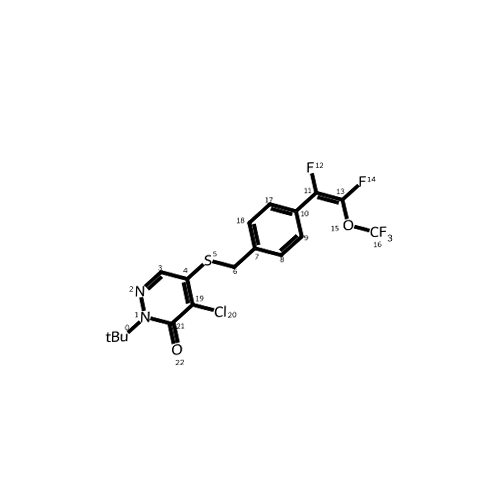 CC(C)(C)n1ncc(SCc2ccc(/C(F)=C(/F)OC(F)(F)F)cc2)c(Cl)c1=O